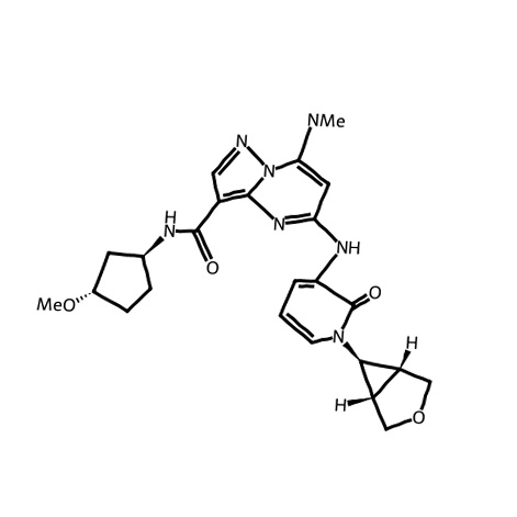 CNc1cc(Nc2cccn([C@H]3[C@@H]4COC[C@@H]43)c2=O)nc2c(C(=O)N[C@H]3CC[C@H](OC)C3)cnn12